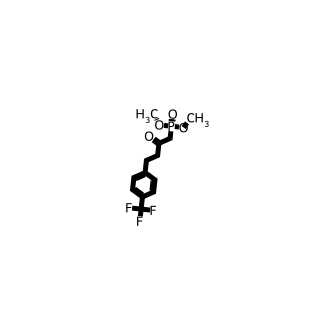 COP(=O)(CC(=O)CCc1ccc(C(F)(F)F)cc1)OC